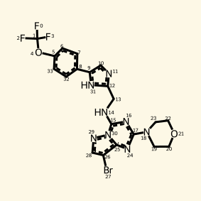 FC(F)(F)Oc1ccc(-c2cnc(CNc3nc(N4CCOCC4)nc4c(Br)cnn34)[nH]2)cc1